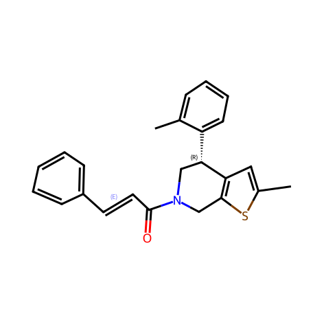 Cc1cc2c(s1)CN(C(=O)/C=C/c1ccccc1)C[C@@H]2c1ccccc1C